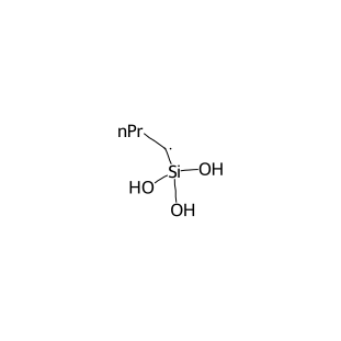 CCC[CH][Si](O)(O)O